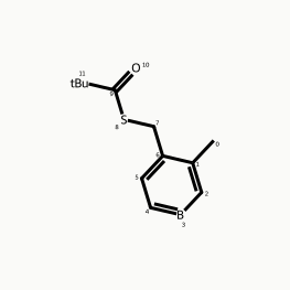 Cc1cbccc1CSC(=O)C(C)(C)C